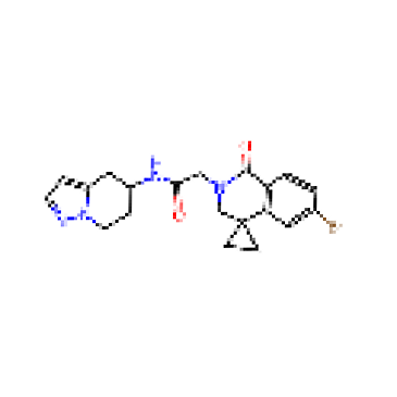 O=C(CN1CC2(CC2)c2cc(Br)ccc2C1=O)NC1CCn2nccc2C1